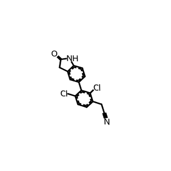 N#CCc1ccc(Cl)c(-c2ccc3c(c2)CC(=O)N3)c1Cl